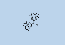 CC(C)[C@H]1N=C(CC2=N[C@H](C(C)C)C(C(C)C)(C(C)C)O2)OC1(C(C)C)C(C)C.[Ni]